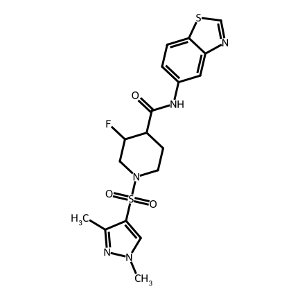 Cc1nn(C)cc1S(=O)(=O)N1CCC(C(=O)Nc2ccc3scnc3c2)C(F)C1